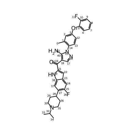 Cc1cc(Oc2ccccc2F)ccc1-n1ncc(C(=O)c2cc3cc(F)c(C4CCN(C(C)C)CC4)cc3[nH]2)c1N